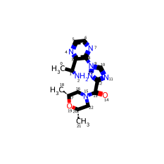 CC(N)c1nccnc1-n1cnc(C(=O)N2C[C@@H](C)O[C@@H](C)C2)n1